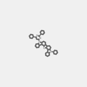 c1ccc(-c2cc(-n3c4ccccc4c4c5oc6c(ccc7c6c6ccccc6n7-c6ccccc6)c5ccc43)nc(-c3ccccc3)n2)cc1